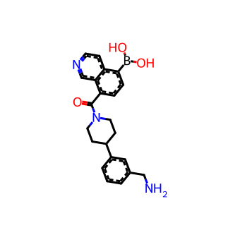 NCc1cccc(C2CCN(C(=O)c3ccc(B(O)O)c4ccncc34)CC2)c1